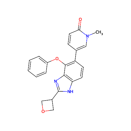 Cn1cc(-c2ccc3[nH]c(C4COC4)nc3c2Oc2ccccc2)ccc1=O